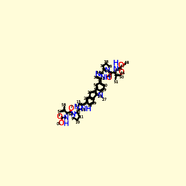 COC(=O)NC(C(=O)N1CCC[C@H]1c1ncc(-c2ccc3c(c2)Cc2c-3n(C)c3ccc(-c4cnc([C@@H]5CCCN5C(=O)[C@@H](NC(=O)OC)C(C)C)[nH]4)cc23)[nH]1)C(C)C